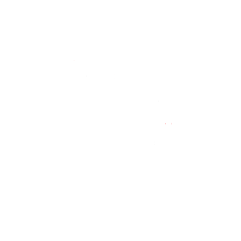 C=COC(=O)CCCCCCC.CC(=O)OC1=CCC1